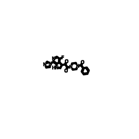 O=C(C(=O)N1CCN(C(=O)c2ccccc2)CC1)C1CNc2c(-n3ccnc3)ncc(F)c21